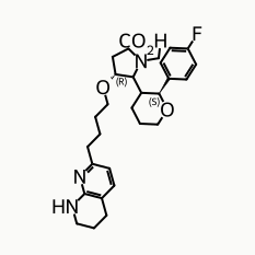 O=C(O)CN1CC[C@@H](OCCCCc2ccc3c(n2)NCCC3)C1C1CCCO[C@@H]1c1ccc(F)cc1